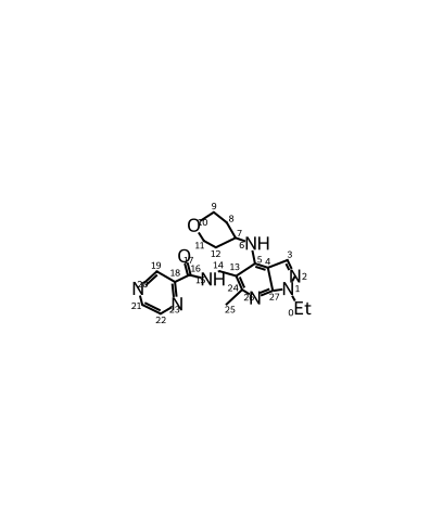 CCn1ncc2c(NC3CCOCC3)c(CNC(=O)c3cnccn3)c(C)nc21